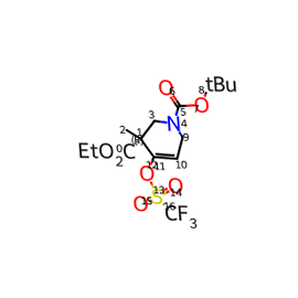 CCOC(=O)[C@]1(C)CN(C(=O)OC(C)(C)C)CC=C1OS(=O)(=O)C(F)(F)F